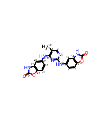 Cc1cnc(Nc2ccc3oc(=O)[nH]c3c2)nc1Nc1ccc2oc(=O)[nH]c2c1